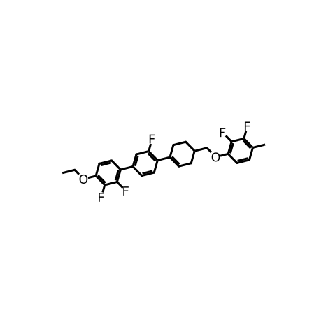 CCOc1ccc(-c2ccc(C3=CCC(COc4ccc(C)c(F)c4F)CC3)c(F)c2)c(F)c1F